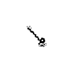 CCCCCCCCCCc1cccc(S(=O)(=O)Cl)c1CC